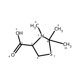 CN1C(C(=O)O)CSC1(C)C